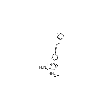 C[C@@H](N)[C@H](NC(=O)c1ccc(C#C/C=C/c2cccnc2)cc1)C(=O)NO